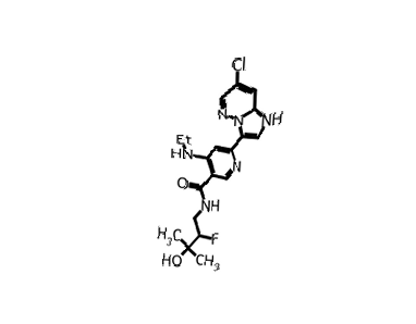 CCNc1cc(C2=CNC3C=C(Cl)C=NN23)ncc1C(=O)NCC(F)C(C)(C)O